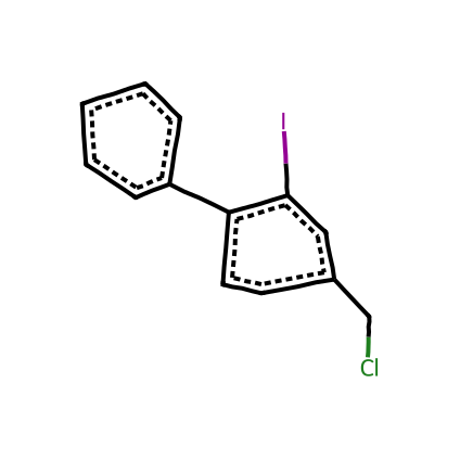 ClCc1ccc(-c2ccccc2)c(I)c1